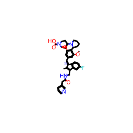 COc1cc(/C=C2/C(C)=C(CNC(=O)Cc3cccnc3)c3cc(F)ccc32)cc(OC)c1C1CCCCN1C1CCN(C(=O)O)CC1